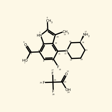 Cc1[nH]c2c(C(=O)O)cc(F)c(N3CCC[C@H](N)C3)c2c1C.O=C(O)C(F)(F)F